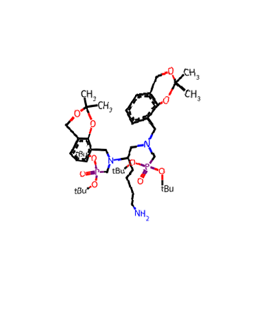 CC(C)(C)OP(=O)(CN(Cc1cccc2c1OC(C)(C)OC2)CC(CCCCN)N(Cc1cccc2c1OC(C)(C)OC2)CP(=O)(OC(C)(C)C)OC(C)(C)C)OC(C)(C)C